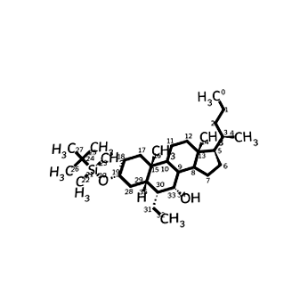 CCC[C@@H](C)[C@H]1CCC2C3C(CC[C@@]21C)[C@@]1(C)CC[C@@H](O[Si](C)(C)C(C)(C)C)C[C@H]1[C@@H](CC)[C@H]3O